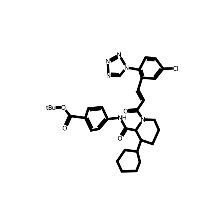 CC(C)(C)OC(=O)c1ccc(NC(=O)C2C(C3CCCCC3)CCCN2C(=O)/C=C/c2cc(Cl)ccc2-n2cnnn2)cc1